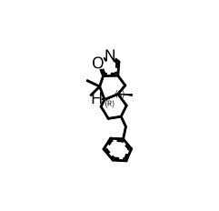 CC1(C)c2oncc2C[C@]2(C)CC(Cc3ccccc3)CC[C@@H]12